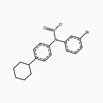 O=[N+]([O-])N(c1ccc(C2CCCCC2)cc1)c1cccc(Br)c1